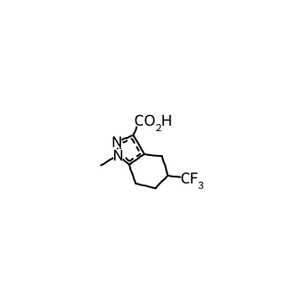 Cn1nc(C(=O)O)c2c1CCC(C(F)(F)F)C2